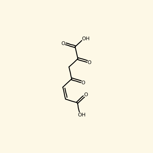 O=C(O)/C=C\C(=O)CC(=O)C(=O)O